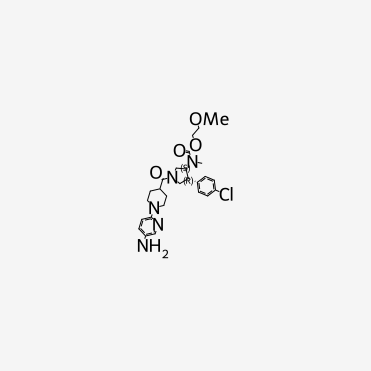 COCCOC(=O)N(C)[C@@H]1CN(C(=O)C2CCN(c3ccc(N)cn3)CC2)C[C@H]1c1ccc(Cl)cc1